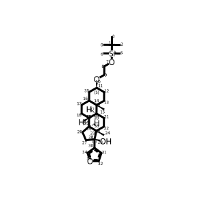 CC(C)(C)[Si](C)(C)OCCO[C@H]1CC[C@@]2(C)C(CC[C@@H]3[C@@H]2CC[C@@]2(C)[C@H]3CC[C@@]2(O)c2ccoc2)C1